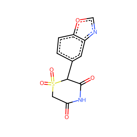 O=C1CS(=O)(=O)C(c2ccc3ocnc3c2)C(=O)N1